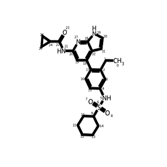 CCc1cc(NS(=O)(=O)C2CCCCC2)ccc1-c1cc(NC(=O)C2CC2)nc2[nH]ccc12